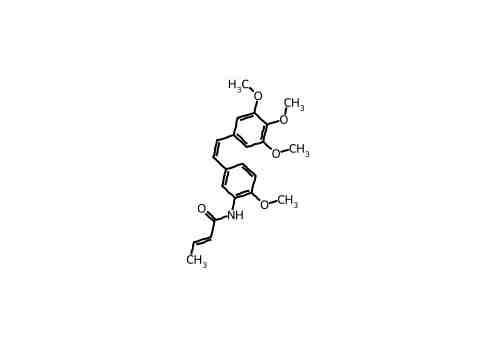 C/C=C/C(=O)Nc1cc(/C=C\c2cc(OC)c(OC)c(OC)c2)ccc1OC